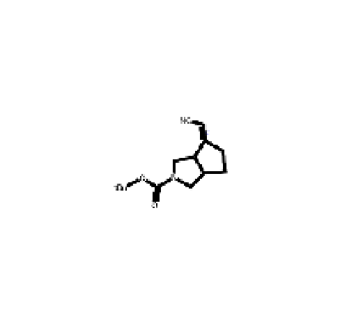 CC(C)(C)OC(=O)N1CC2CC/C(=C/C#N)C2C1